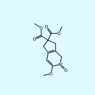 COC(=O)C1(C(=O)OC)CC2=C(C[N+](=O)C(OC)=C2)C1